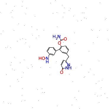 NC(=O)Oc1ccc(Cc2ccc(=O)[nH]n2)cc1-c1cccc(NO)c1